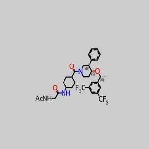 CC(=O)NCC(=O)NC1CCC(C(=O)N2CC[C@H](O[C@H](C)c3cc(C(F)(F)F)cc(C(F)(F)F)c3)[C@H](c3ccccc3)C2)CC1